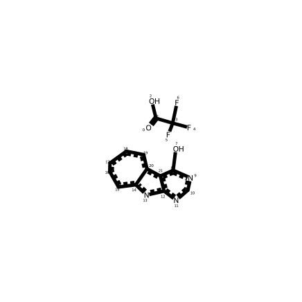 O=C(O)C(F)(F)F.Oc1ncnc2nc3cccccc-3c12